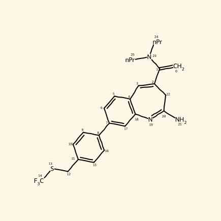 C=C(C1=Cc2ccc(-c3ccc(CSC(F)(F)F)cc3)cc2N=C(N)C1)N(CCC)CCC